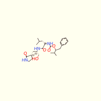 CC(C)C[C@H](NC(=O)OC(Cc1ccccc1)C(C)C)C(=O)N[C@H](CO)C[C@@H]1CCNC1=O